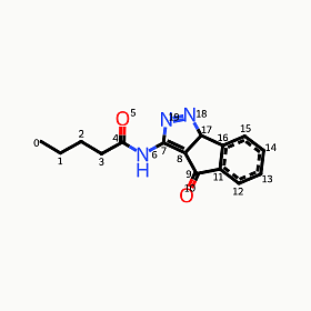 CCCCC(=O)NC1=C2C(=O)c3ccccc3C2N=N1